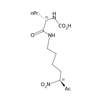 CCC[C@H](NC(=O)O)C(=O)NCCCC[C@@H](C(C)=O)[N+](=O)[O-]